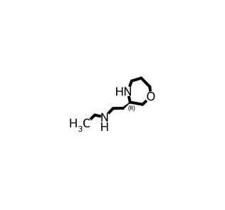 CCNCC[C@@H]1COCCCN1